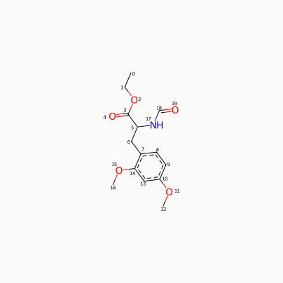 CCOC(=O)C(Cc1ccc(OC)cc1OC)NC=O